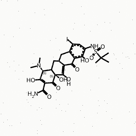 CN(C)[C@@H]1C(O)=C(C(N)=O)C(=O)[C@@]2(O)C(O)=C3C(=O)c4c(O)c(NS(=O)(=O)C(C)(C)C)cc(I)c4CC3CC12